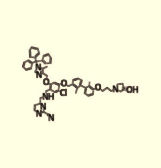 Cc1c(COc2cc(OCc3ncn(C(c4ccccc4)(c4ccccc4)c4ccccc4)c3C)c(CNCc3ccnc(C#N)n3)cc2Cl)cccc1-c1cccc(OCCCN2CC[C@H](O)C2)c1C